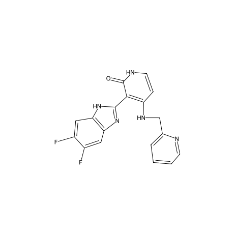 O=c1[nH]ccc(NCc2ccccn2)c1-c1nc2cc(F)c(F)cc2[nH]1